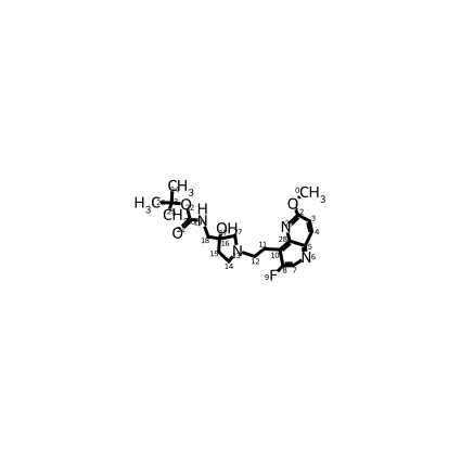 COc1ccc2ncc(F)c(CCN3CCC(O)(CNC(=O)OC(C)(C)C)C3)c2n1